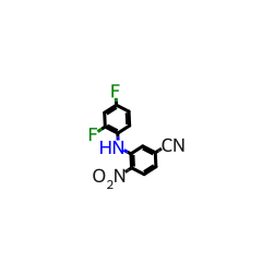 N#Cc1ccc([N+](=O)[O-])c(Nc2ccc(F)cc2F)c1